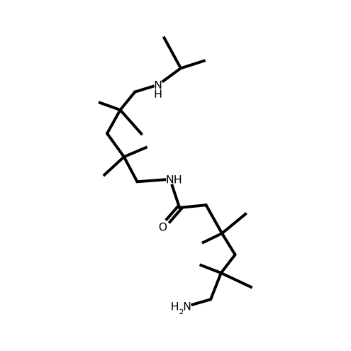 CC(C)NCC(C)(C)CC(C)(C)CNC(=O)CC(C)(C)CC(C)(C)CN